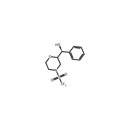 O=S(=O)(N1CCOC([C@@H](O)c2ccccc2)C1)C(F)(F)F